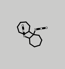 O=C=NC1CCCCCC1(N=C=O)C1CCCCCC1